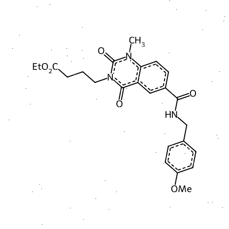 CCOC(=O)CCCn1c(=O)c2cc(C(=O)NCc3ccc(OC)cc3)ccc2n(C)c1=O